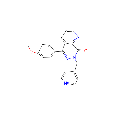 COc1ccc(-c2nn(Cc3ccncc3)c(=O)c3ncccc23)cc1